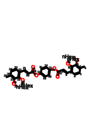 CCCCCCOc1c(C)ccc(/C=C/C(=O)Oc2ccc(OC(=O)/C=C/c3ccc(C)c(OCCCCCC)c3OCCCCCC)cc2)c1OCCCCCC